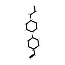 C=CC1CCC([C@H]2CC[C@H](CCC)CC2)CC1